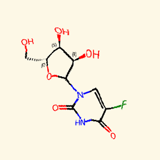 O=c1[nH]c(=O)n([C]2O[C@H](CO)[C@@H](O)[C@H]2O)cc1F